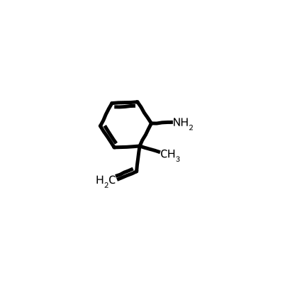 C=CC1(C)C=CC=CC1N